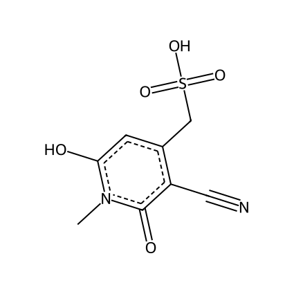 Cn1c(O)cc(CS(=O)(=O)O)c(C#N)c1=O